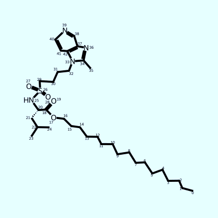 CCCCCCCCCCCCCCCCCOC(=O)[C@H](CC(C)C)NS(=O)(=O)CCCCn1c(C)nc2cnccc21